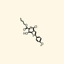 CCCCOC(=O)c1nc(Cl)c2cc(-c3ccc(OC)cc3)sc2c1O